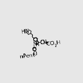 CCCCCOc1ccc(Cn2nc(C3CCN(CC(=O)O)CC3)c3ccc(C=CC4CCNCC4)cc32)cc1